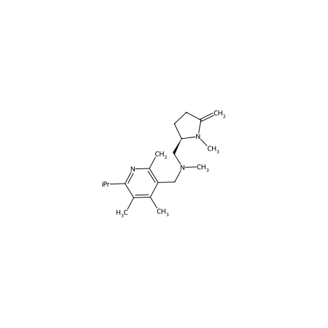 C=C1CC[C@H](CN(C)Cc2c(C)nc(C(C)C)c(C)c2C)N1C